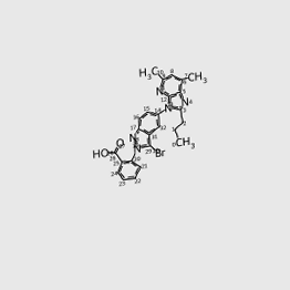 CCCc1nc2c(C)cc(C)nc2n1-c1ccc2nn(-c3ccccc3C(=O)O)c(Br)c2c1